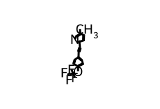 Cc1ccc(C#Cc2ccc(OC(F)(F)C(F)F)cc2)nc1